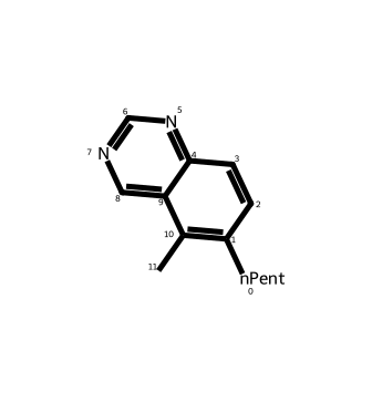 CCCCCc1ccc2ncncc2c1C